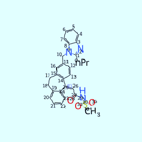 CCCc1nc2ccccc2n1Cc1ccc2c(c1)CCc1ccccc1/C2=C\C(=O)NS(C)(=O)=O